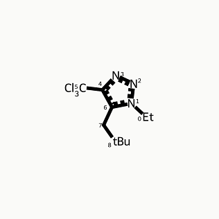 CCn1nnc(C(Cl)(Cl)Cl)c1CC(C)(C)C